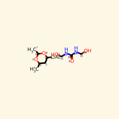 CC(=O)OC1CC(C)OC(C)O1.O=C(NCO)NCO